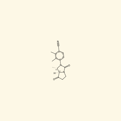 Cc1c(C#N)ccc(N2C(=O)N3CCC(=O)[C@H]3[C@@H]2C)c1C